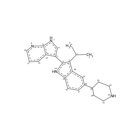 CC(C)c1c(-c2c[nH]c3ncccc23)[nH]c2ccc(C3CCNCC3)cc12